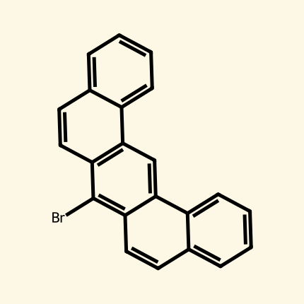 Brc1c2ccc3ccccc3c2cc2c1ccc1ccccc12